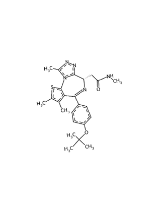 CNC(=O)C[C@@H]1N=C(c2ccc(OC(C)(C)C)cc2)c2c(sc(C)c2C)-n2c(C)nnc21